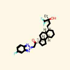 CC[C@](O)(CC[C@H]1CCC[C@@H]2[C@@H]1CC[C@]1(C)[C@@H](C(=O)Cn3nc4ccc(F)cc4n3)CC[C@@H]21)C(F)F